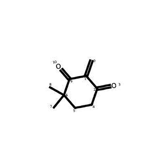 C=C1C(=O)CCC(C)(C)C1=O